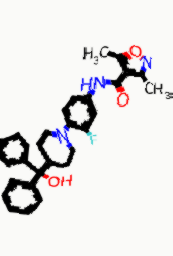 Cc1noc(C)c1C(=O)Nc1ccc(N2CCC(C(O)(c3ccccc3)c3ccccc3)CC2)c(F)c1